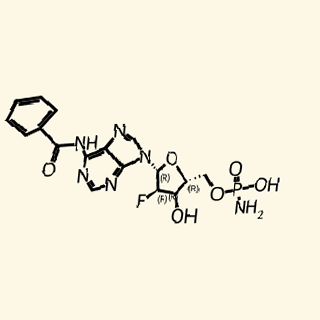 NP(=O)(O)OC[C@H]1O[C@@H](n2cnc3c(NC(=O)c4ccccc4)ncnc32)[C@H](F)[C@@H]1O